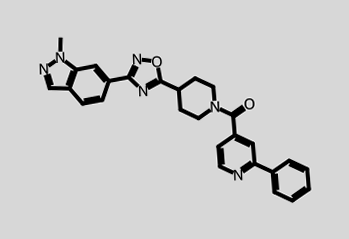 Cn1ncc2ccc(-c3noc(C4CCN(C(=O)c5ccnc(-c6ccccc6)c5)CC4)n3)cc21